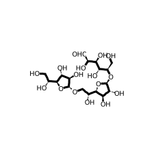 O=C[C@H](O)[C@@H](O)[C@@H](O)[C@@H](CO)O[C@@H]1O[C@@H]([C@H](O)CO[C@@H]2O[C@@H]([C@H](O)CO)[C@H](O)[C@H]2O)[C@H](O)[C@H]1O